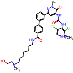 C=C/C(Cl)=C(NC(=O)Nc1cc(-c2cccc(-c3ccc(C(=O)NCCCCCCCN(C)CCO)cc3)c2)nn(CC)c1=O)\C(Cl)=C/N